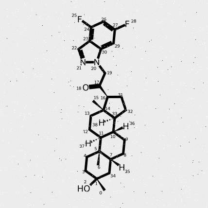 C[C@@]1(O)CC[C@@]2(C)[C@H](CC[C@@H]3[C@@H]2CC[C@]2(C)[C@@H](C(=O)Cn4ncc5c(F)cc(F)cc54)CC[C@@H]32)C1